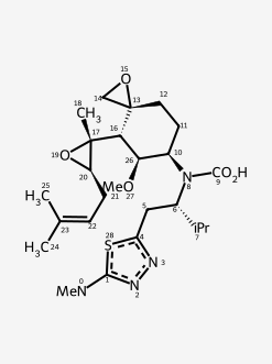 CNc1nnc(C[C@@H](C(C)C)N(C(=O)O)[C@@H]2CC[C@]3(CO3)[C@@H]([C@@]3(C)O[C@@H]3CC=C(C)C)[C@@H]2OC)s1